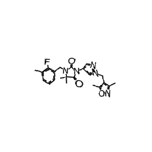 Cc1cccc(CN2C(=O)N(c3cnn(Cc4c(C)noc4C)c3)C(=O)C2(C)C)c1F